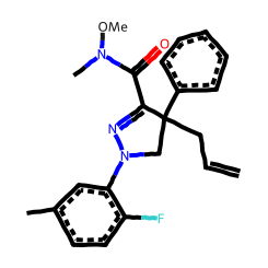 C=CCC1(c2ccccc2)CN(c2cc(C)ccc2F)N=C1C(=O)N(C)OC